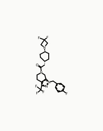 O=C(C[C@H]1CC[C@H](N2CC(F)(F)C2)CC1)N1CCc2c(C(F)(F)F)nn(Cc3ccc(F)cc3)c2C1